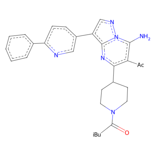 CCC(C)C(=O)N1CCC(c2nc3c(-c4ccc(-c5ccccc5)nc4)cnn3c(N)c2C(C)=O)CC1